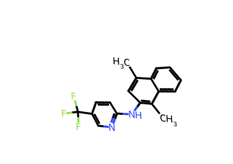 Cc1cc(Nc2ccc(C(F)(F)F)cn2)c(C)c2ccccc12